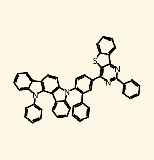 c1ccc(-c2nc(-c3ccc(-n4c5ccccc5c5c4ccc4c6ccccc6n(-c6ccccc6)c45)c(-c4ccccc4)c3)c3sc4ccccc4c3n2)cc1